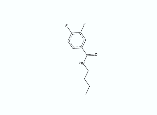 CCCCNC(=O)c1ccc(F)c(F)c1